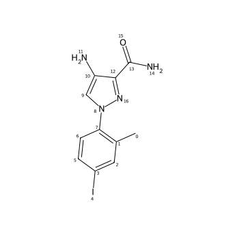 Cc1cc(I)ccc1-n1cc(N)c(C(N)=O)n1